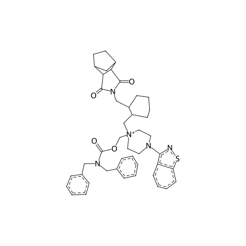 O=C(OC[N+]1(CC2CCCCC2CN2C(=O)C3C4CCC(C4)C3C2=O)CCN(c2nsc3ccccc23)CC1)N(Cc1ccccc1)Cc1ccccc1